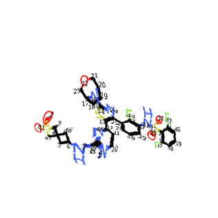 O=S1(=O)CC2(CC(Nc3nccc(-c4sc(N5C6CCC5COC6)nc4-c4cccc(NS(=O)(=O)c5c(F)cccc5F)c4F)n3)C2)C1